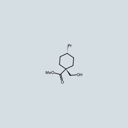 COC(=O)[C@]1(CO)CC[C@H](C(C)C)CC1